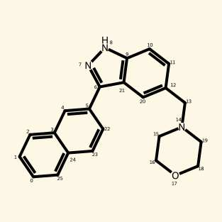 c1ccc2cc(-c3n[nH]c4ccc(CN5CCOCC5)cc34)ccc2c1